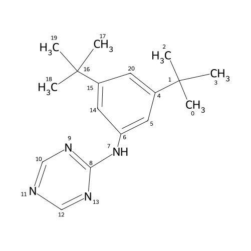 CC(C)(C)c1cc(Nc2ncncn2)cc(C(C)(C)C)c1